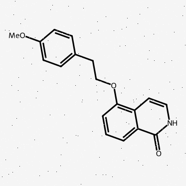 COc1ccc(CCOc2cccc3c(=O)[nH]ccc23)cc1